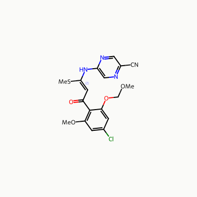 COCOc1cc(Cl)cc(OC)c1C(=O)/C=C(/Nc1cnc(C#N)cn1)SC